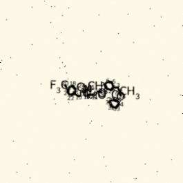 CCOC(=O)C(C)(Cc1cccc(OCCC2CN(Cc3ccc(C(F)(F)F)cc3)C(=O)N2C)c1)Oc1ccccc1